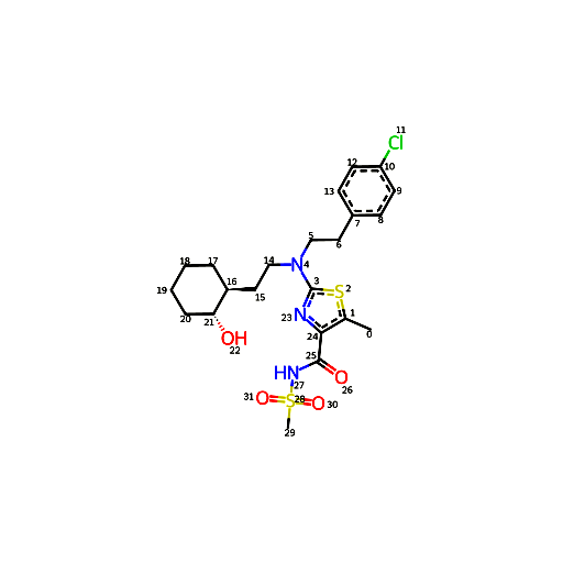 Cc1sc(N(CCc2ccc(Cl)cc2)CC[C@@H]2CCCC[C@H]2O)nc1C(=O)NS(C)(=O)=O